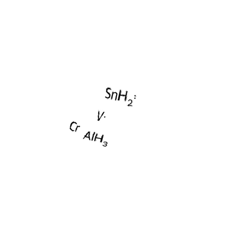 [AlH3].[Cr].[SnH2].[V]